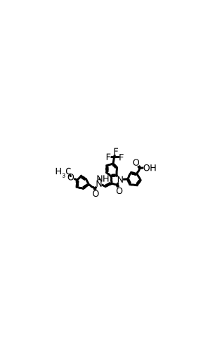 COc1ccc(C(=O)N(N)/C=C2/C(=O)N(c3cccc(C(=O)O)c3)c3cc(C(F)(F)F)ccc32)cc1